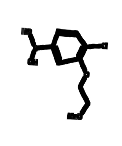 COCCOc1cc(B(O)O)ccc1Cl